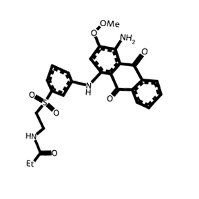 CCC(=O)NCCS(=O)(=O)c1cccc(Nc2cc(OOC)c(N)c3c2C(=O)c2ccccc2C3=O)c1